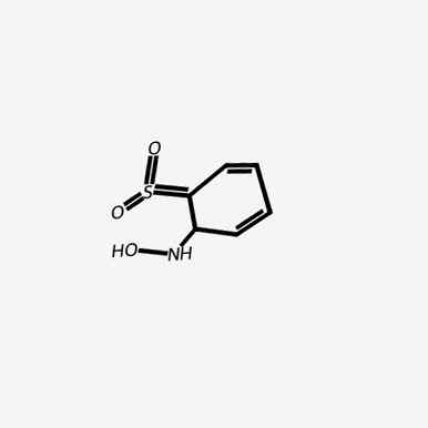 O=S(=O)=C1C=CC=CC1NO